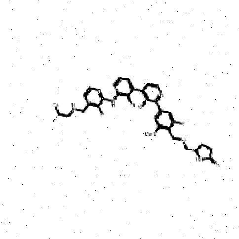 COc1cc(-c2nccc(-c3cccc(Nc4nccc(CNC[C@H](C)O)c4F)c3Cl)c2Cl)cc(F)c1CNC[C@H]1CCC(=O)N1